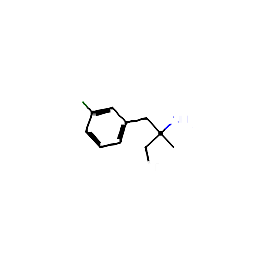 CC(N)(Cc1cccc(F)c1)CC(F)(F)F